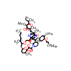 C/C=C/C=C(\C)C(C[C@@H]1CC[C@@H](C)[C@](O)(C(=O)C(=O)N2CCCC[C@H]2CO[C@@H](CC(=O)[C@H](C)/C=C(\C)[C@@H](O)[C@@H](OC)C(=O)[C@H](C)CC(C)C)[C@H](C)C[C@@H]2CC[C@@H](OCCOC)[C@H](OC)C2)O1)OCCc1cnccn1